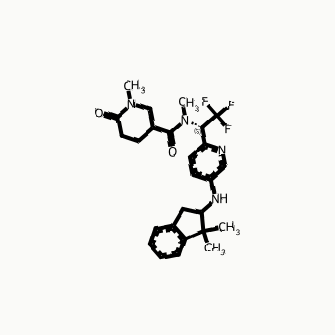 CN1CC(C(=O)N(C)[C@@H](c2ccc(NC3Cc4ccccc4C3(C)C)cn2)C(F)(F)F)CCC1=O